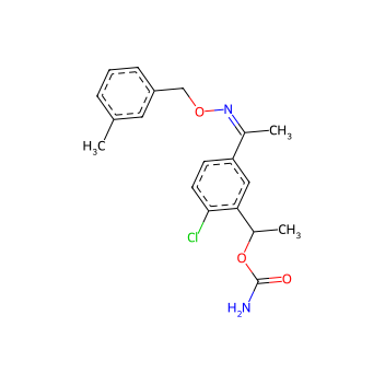 CC(=NOCc1cccc(C)c1)c1ccc(Cl)c(C(C)OC(N)=O)c1